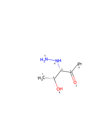 CC(C)C(=O)[C@@H](NN)[C@@H](C)O